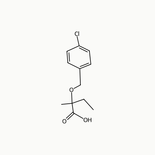 CCC(C)(OCc1ccc(Cl)cc1)C(=O)O